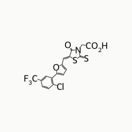 O=C(O)CN1C(=O)C(=Cc2ccc(-c3cc(C(F)(F)F)ccc3Cl)o2)SC1=S